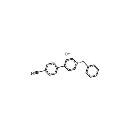 N#Cc1ccc(-c2cc[n+](Cc3ccccc3)cc2)cc1.[Br-]